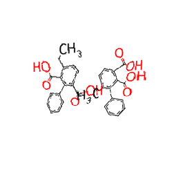 CCc1ccc(C(=O)O)c(-c2ccccc2)c1C(=O)O.Cc1ccc(C(=O)O)c(C(=O)O)c1-c1ccccc1